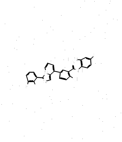 Nc1cc(F)ccc1NC(=O)c1cc(-c2cccn3c(-c4cccc(F)c4F)ncc23)ccc1Cl